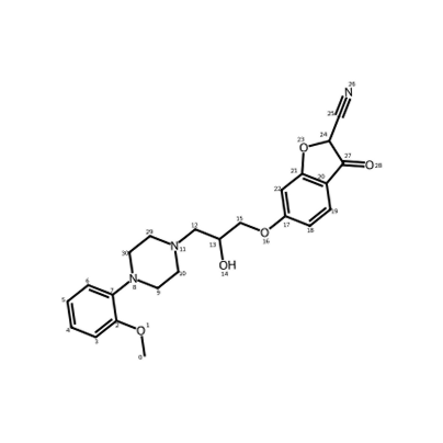 COc1ccccc1N1CCN(CC(O)COc2ccc3c(c2)OC(C#N)C3=O)CC1